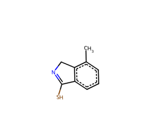 Cc1cccc2c1CN=C2S